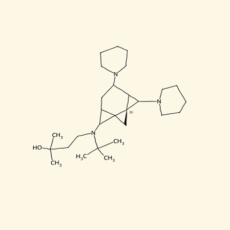 CC(C)(O)CCN(C1C2CC(N3CCCCC3)C3C(N4CCCCC4)[C@@]34CC214)C(C)(C)C